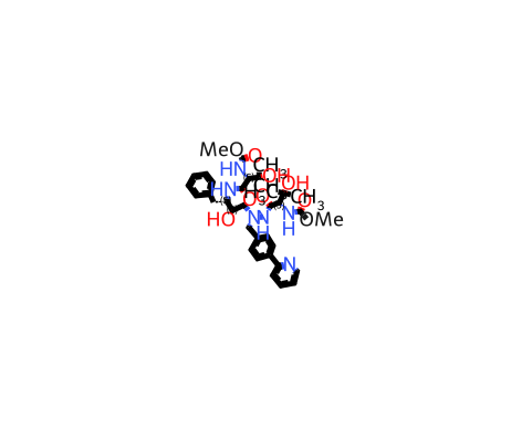 COC(=O)N[C@H](C(=O)N[C@@H](Cc1ccccc1)[C@@H](O)CN(Cc1ccc(-c2ccccn2)cc1)NC(=O)[C@@H](NC(=O)OC)C(C)(C)O)C(C)(C)O